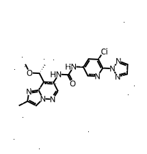 CO[C@H](C)c1c(NC(=O)Nc2cnc(-n3nccn3)c(Cl)c2)cnn2cc(C)nc12